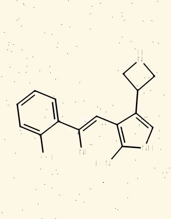 N/C(=C\c1c(C2CNC2)c[nH]c1N)c1ccccc1O